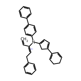 C=C/C(=C\Cc1ccccc1)N(C1=CC=C(C2=CCCC=C2)C1)c1ccc(-c2ccccc2)cc1